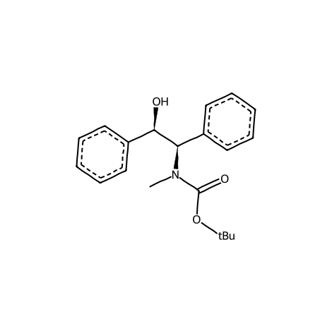 CN(C(=O)OC(C)(C)C)[C@H](c1ccccc1)[C@H](O)c1ccccc1